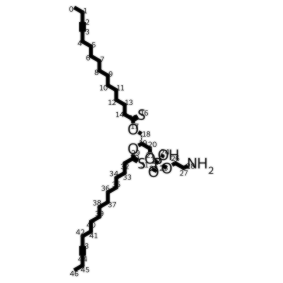 CCC#CCCCCCCCCCCCC(=S)OC[C@H](COP(=O)(O)OCCN)OC(=S)CCCCCCCCCCCC#CCC